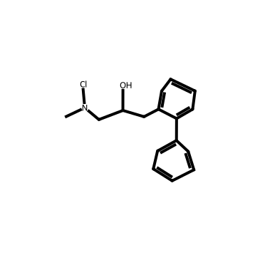 CN(Cl)CC(O)Cc1ccccc1-c1ccccc1